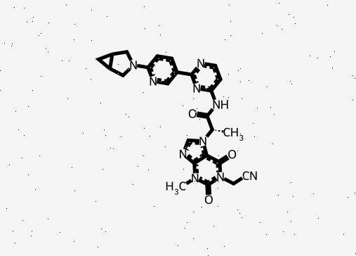 C[C@@H](C(=O)Nc1ccnc(-c2ccc(N3CC4CC4C3)nc2)n1)n1cnc2c1c(=O)n(CC#N)c(=O)n2C